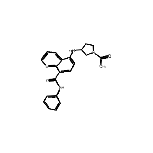 O=C(Nc1ccccc1)c1ccc(NC2CCN(C(=O)O)C2)c2cccnc12